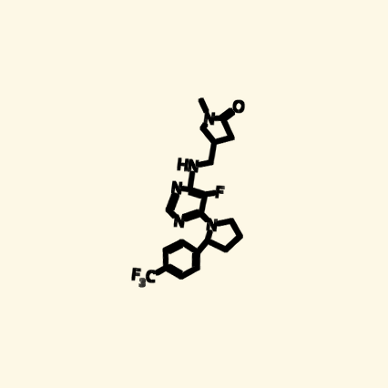 CN1CC(CNc2ncnc(N3CCCC3c3ccc(C(F)(F)F)cc3)c2F)CC1=O